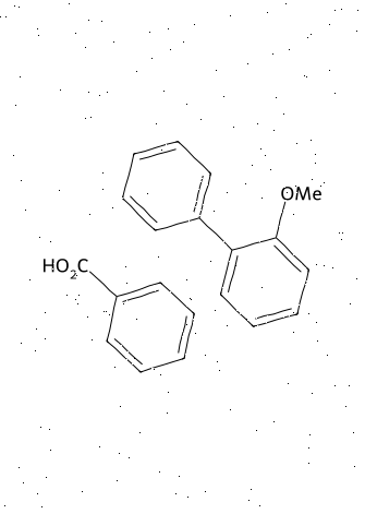 COc1ccccc1-c1ccccc1.O=C(O)c1ccccc1